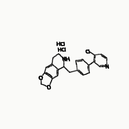 Cl.Cl.Clc1ccncc1-c1ccc(CC2NCCc3cc4c(cc32)OCO4)cc1